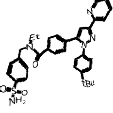 CCN(Cc1ccc(S(N)(=O)=O)cc1)C(=O)c1ccc(-c2cc(-c3ccccn3)nn2-c2ccc(C(C)(C)C)cc2)cc1